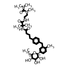 CS[C@H]1O[C@@H](c2ccc(C)c(Cc3ccc(CCCC(=O)NC(C)(C)C(=O)NCCN(C)C(=O)N(C)C)cc3)c2)[C@H](O)[C@@H](O)[C@@H]1O